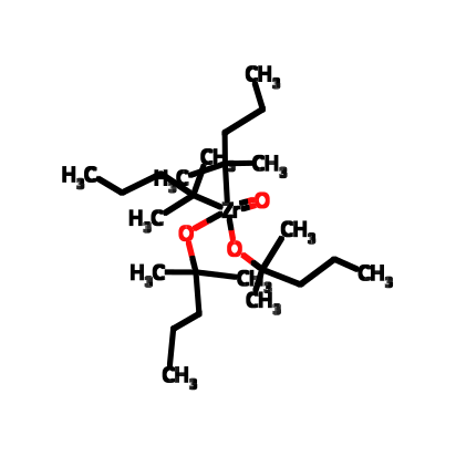 CCCC(C)(C)[O][Zr](=[O])([O]C(C)(C)CCC)([C](C)(C)CCC)[C](C)(C)CCC